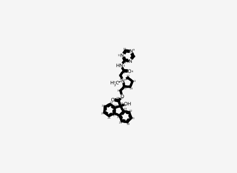 C[N@+]1(CC(=O)Nc2ncncn2)CCCC1COC(=O)C1(O)c2ccccc2-c2ccccc21